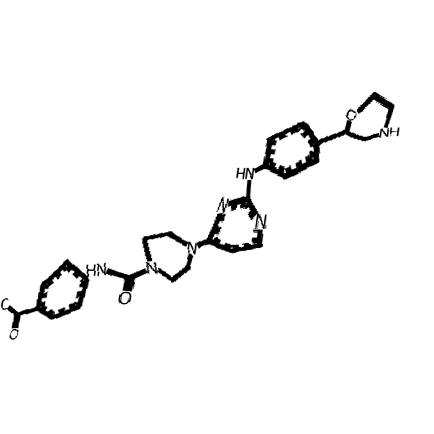 CC(=O)c1ccc(NC(=O)N2CCN(c3ccnc(Nc4ccc(C5CNCCO5)cc4)n3)CC2)cc1